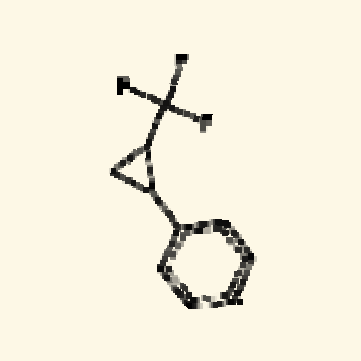 FC(F)(F)C1CC1c1cc[c]cc1